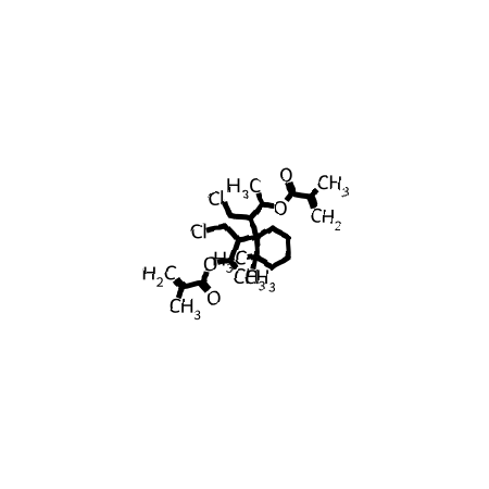 C=C(C)C(=O)OC(C)C(CCl)C1(C(CCl)C(C)OC(=O)C(=C)C)CCCCC1(C)C